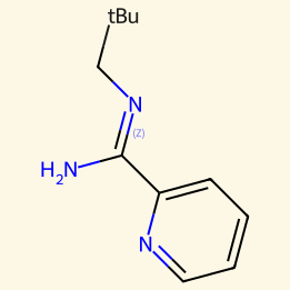 CC(C)(C)C/N=C(\N)c1ccccn1